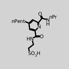 CCCCCc1cc(C(=O)NCCC)nc(C(=O)NCCS(=O)(=O)O)c1